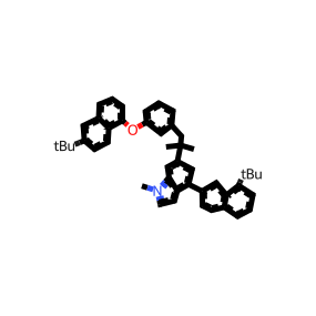 Cn1ccc2c(-c3ccc4cccc(C(C)(C)C)c4c3)cc(C(C)(C)Cc3cccc(Oc4cccc5cc(C(C)(C)C)ccc45)c3)cc21